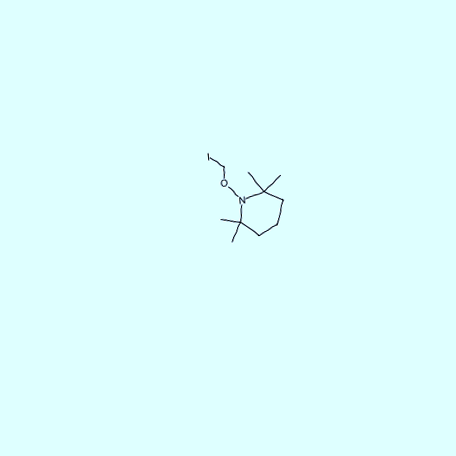 CC1(C)CCCC(C)(C)N1OCI